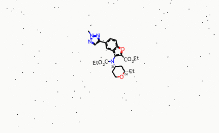 CCOC(=O)c1oc2ccc(-c3cnn(C)n3)cc2c1N(C(=O)OCC)[C@H]1CCO[C@@H](CC)C1